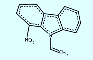 C=Cn1c2ccccc2c2cccc([N+](=O)[O-])c21